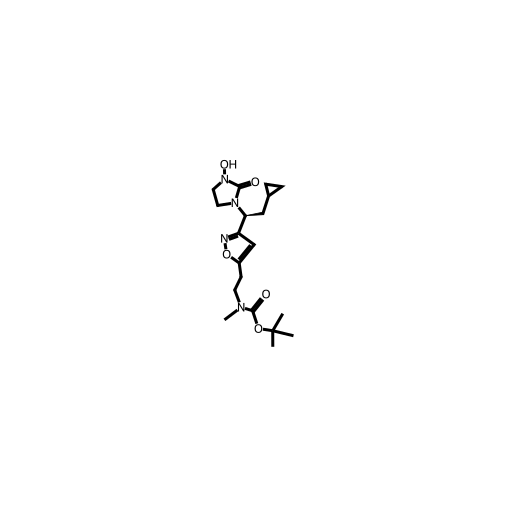 CN(CCc1cc([C@H](CC2CC2)N2CCN(O)C2=O)no1)C(=O)OC(C)(C)C